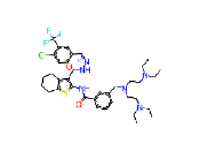 CCN(CC)CCN(CCN(CC)CC)Cc1cccc(C(=O)Nc2sc3c(c2C(=O)N/N=C\c2ccc(Cl)c(C(F)(F)F)c2)CCCC3)c1